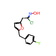 O/N=C(\Cl)Cc1ccc(Cc2ccc(F)cc2)o1